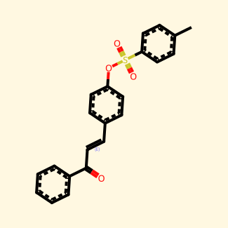 Cc1ccc(S(=O)(=O)Oc2ccc(/C=C/C(=O)c3ccccc3)cc2)cc1